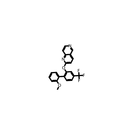 COc1ccccc1-c1ccc(C(F)(F)F)cc1Oc1ccc2cnccc2n1